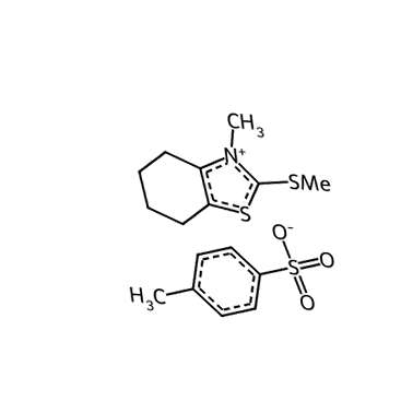 CSc1sc2c([n+]1C)CCCC2.Cc1ccc(S(=O)(=O)[O-])cc1